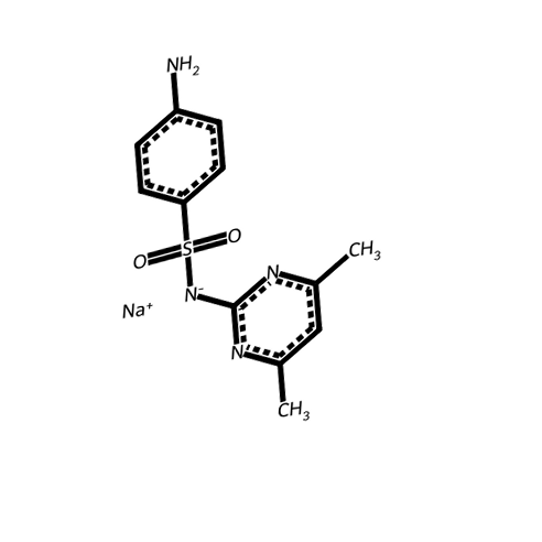 Cc1cc(C)nc([N-]S(=O)(=O)c2ccc(N)cc2)n1.[Na+]